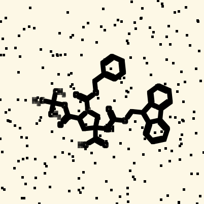 CC(C)(C)OC(=O)C1CC(NC(=O)OCC2c3ccccc3-c3ccccc32)(C(=O)O)CN1C(=O)OCc1ccccc1